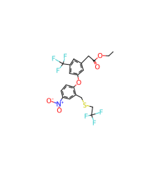 CCOC(=O)Cc1cc(Oc2ccc([N+](=O)[O-])cc2CSCC(F)(F)F)cc(C(F)(F)F)c1